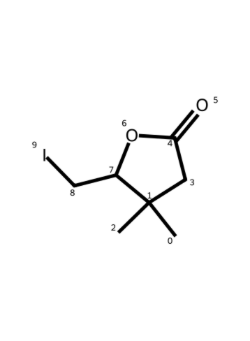 CC1(C)CC(=O)OC1CI